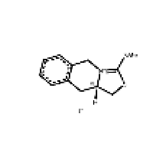 CSC1=[N+]2Cc3ccccc3C[C@H]2CS1.[I-]